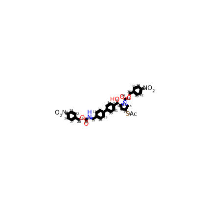 CC(=O)S[C@H]1C[C@@H](C(O)c2ccc(-c3ccc(CNC(=O)OCc4ccc([N+](=O)[O-])cc4)cc3)cc2)N(C(=O)OCc2ccc([N+](=O)[O-])cc2)C1